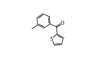 Cc1cccc(C(=O)c2[c]ccs2)c1